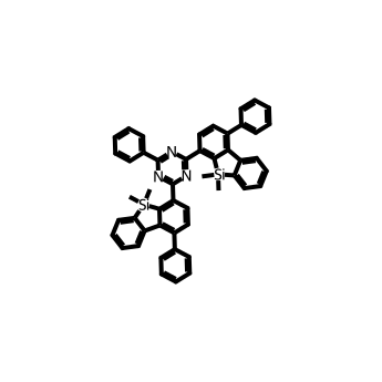 C[Si]1(C)c2ccccc2-c2c(-c3ccccc3)ccc(-c3nc(-c4ccccc4)nc(-c4ccc(-c5ccccc5)c5c4[Si](C)(C)c4ccccc4-5)n3)c21